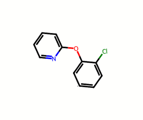 Clc1cc[c]cc1Oc1ccccn1